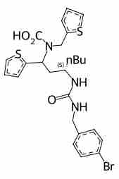 CCCC[C@@H](CC(c1cccs1)N(Cc1cccs1)C(=O)O)NC(=O)NCc1ccc(Br)cc1